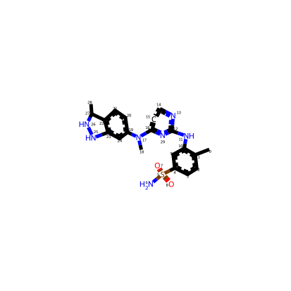 Cc1ccc(S(N)(=O)=O)cc1Nc1nccc(N(C)c2ccc3c(c2)NNC3C)n1